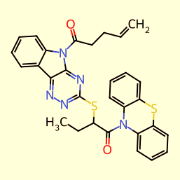 C=CCCC(=O)n1c2ccccc2c2nnc(SC(CC)C(=O)N3c4ccccc4Sc4ccccc43)nc21